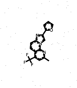 Cc1cc(C(F)(F)F)c2ccc3nc(-c4ccco4)cn3c2n1